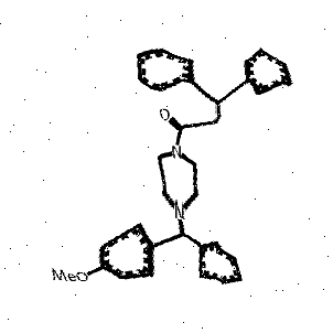 COc1ccc(C(c2ccccc2)N2CCN(C(=O)CC(c3ccccc3)c3ccccc3)CC2)cc1